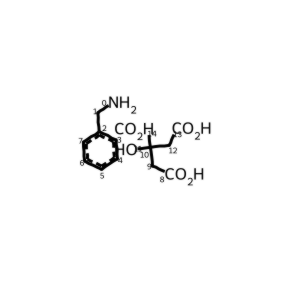 NCc1ccccc1.O=C(O)CC(O)(CC(=O)O)C(=O)O